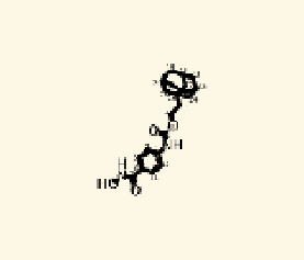 O=C(Nc1ccc(C(=O)NO)cc1)OCCC12CC3CC(CC(C3)C1)C2